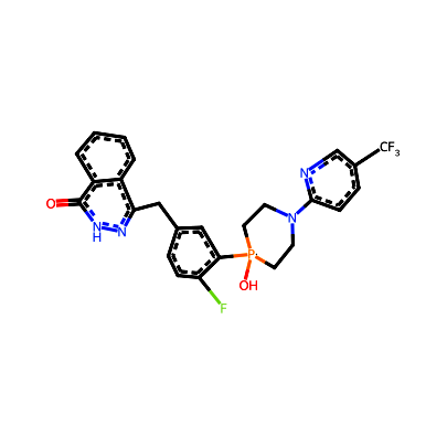 O=c1[nH]nc(Cc2ccc(F)c([P]3(O)CCN(c4ccc(C(F)(F)F)cn4)CC3)c2)c2ccccc12